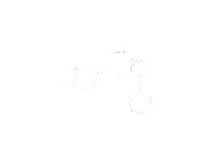 Cc1nc(OCc2c(C(C)C)nnn2-c2c(Cl)cccc2Cl)ccc1N